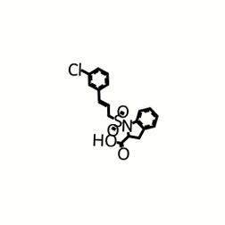 O=C(O)C1Cc2ccccc2N1S(=O)(=O)CC=Cc1cccc(Cl)c1